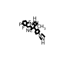 Cc1n[nH]c2nc(Cc3c(F)ccc(F)c3F)c(C#N)c(-c3ccc(N4CCNCC4)cc3)c12